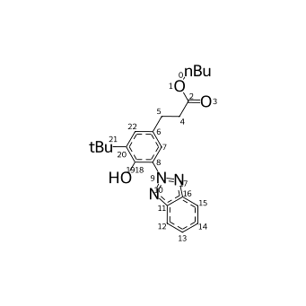 CCCCOC(=O)CCc1cc(-n2nc3ccccc3n2)c(O)c(C(C)(C)C)c1